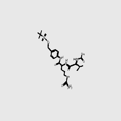 CC(C)C(NC(=O)O)C(=O)NC(CCCNC(N)=O)C(=O)Nc1ccc(CO[Si](C)(C)C(C)(C)C)cc1